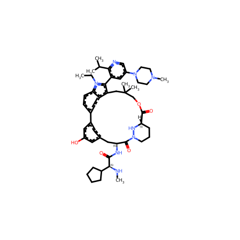 CCn1c(-c2cc(N3CCN(C)CC3)cnc2C(C)C)c2c3cc(ccc31)-c1cc(O)cc(c1)C[C@H](NC(=O)[C@@H](NC)C1CCCC1)C(=O)N1CCC[C@H](N1)C(=O)OCC(C)(C)C2